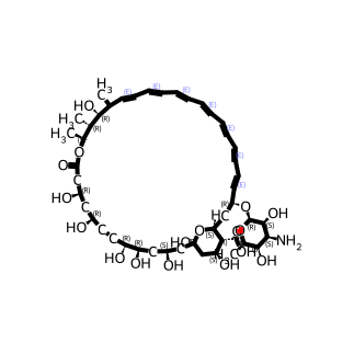 CC1/C=C/C=C/C=C/C=C/C=C/C=C/C=C/[C@H](O[C@@H]2O[C@H](C)[C@@H](O)[C@H](N)[C@@H]2O)C[C@@H]2O[C@](O)(C[C@@H](O)C[C@@H](O)[C@H](O)CC[C@@H](O)C[C@@H](O)CC(=O)O[C@@H](C)[C@H](C)[C@@H]1O)C[C@H](O)[C@H]2C(=O)O